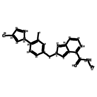 Cc1cc(Cn2cc3c(C(=O)NC(C)C)nccc3n2)cnc1-n1cc(Cl)cn1